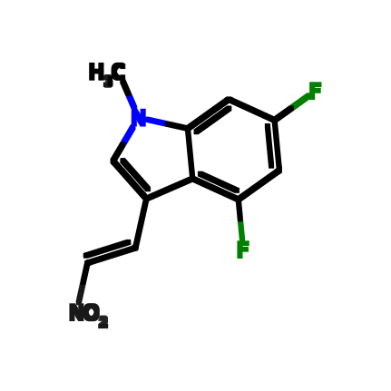 Cn1cc(C=C[N+](=O)[O-])c2c(F)cc(F)cc21